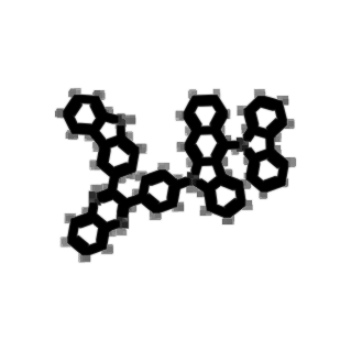 c1ccc2c(-n3c4ccccc4c4ccccc43)c3c4ccccc4n(-c4ccc(-c5nc6ccccc6nc5-c5ccc6sc7ccccc7c6c5)cc4)c3cc2c1